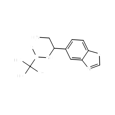 CC(C)(C)[S+]([O-])NC(CN)c1ccc2scnc2c1